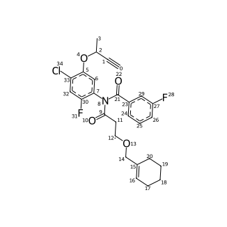 C#CC(C)Oc1cc(N(C(=O)C[CH]OCC2=CCCCC2)C(=O)c2cccc(F)c2)c(F)cc1Cl